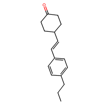 CCCc1ccc(C=CC2CCC(=O)CC2)cc1